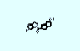 O=C(c1ccc2ccc(O)cc2c1)N1CCc2ccc(F)cc21